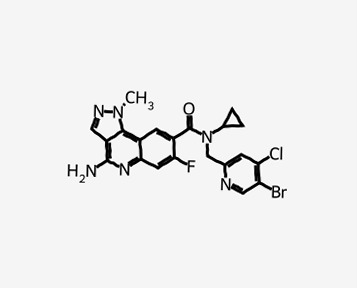 Cn1ncc2c(N)nc3cc(F)c(C(=O)N(Cc4cc(Cl)c(Br)cn4)C4CC4)cc3c21